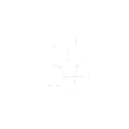 CCC(O)N1C(=O)N(C(O)CC)C(C)(C)C1=O